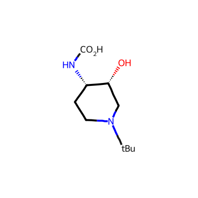 CC(C)(C)N1CC[C@H](NC(=O)O)[C@H](O)C1